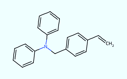 C=Cc1ccc(CN(c2ccccc2)c2ccccc2)cc1